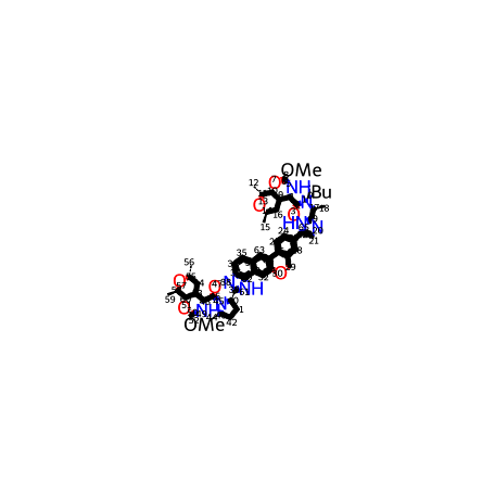 CC[C@H](C)N(C(=O)[C@@H](NC(=O)OC)C1C[C@@H](C)O[C@H](C)C1)[C@@H](C)c1ncc(-c2ccc3c(c2)COc2cc4c(ccc5nc([C@@H]6CC[C@H](C)N6C(=O)[C@@H](NC(=O)OC)C6C[C@@H](C)O[C@H](C)C6)[nH]c54)cc2-3)[nH]1